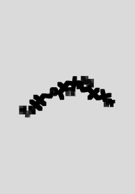 CCC(C)(CC(C)(C)n1cc(C(C)(C)CC(C)(C)C(C)C)nn1)C(C)OCCC(C)(C)C(C)(C)N